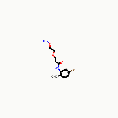 NOCCOCCC(=O)Nc1cc(Br)ccc1C=O